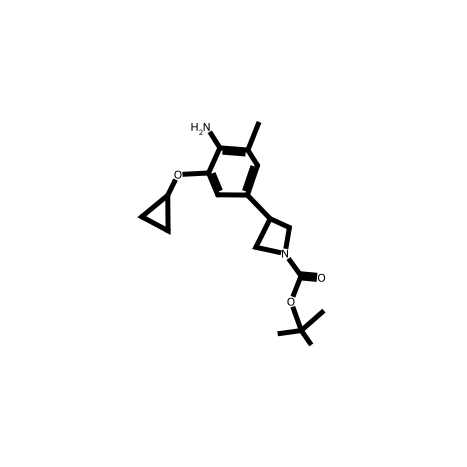 Cc1cc(C2CN(C(=O)OC(C)(C)C)C2)cc(OC2CC2)c1N